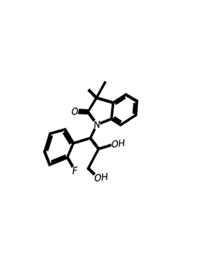 CC1(C)C(=O)N(C(c2ccccc2F)C(O)CO)c2ccccc21